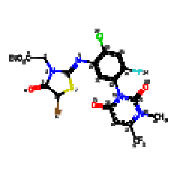 CCOC(=O)CN1C(=O)C(Br)S/C1=N\c1cc(-n2c(=O)cc(C(F)(F)F)n(C)c2=O)c(F)cc1Cl